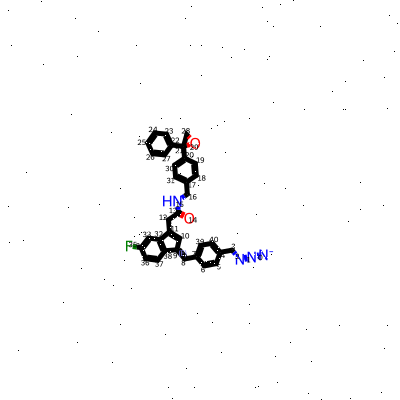 [N-]=[N+]=NCc1ccc(/C=C2\C=C(CC(=O)NCc3ccc(C4(c5ccccc5)CO4)cc3)c3cc(F)ccc32)cc1